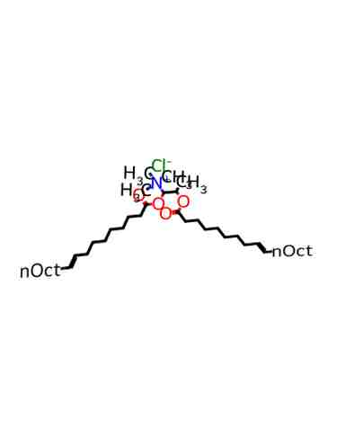 CCCCCCCCC=CCCCCCCCC(=O)OC(C)C(OC(=O)CCCCCCCC=CCCCCCCCC)[N+](C)(C)C.[Cl-]